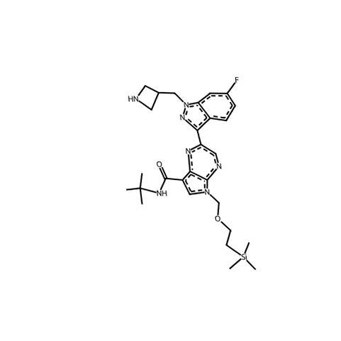 CC(C)(C)NC(=O)c1cn(COCC[Si](C)(C)C)c2ncc(-c3nn(CC4CNC4)c4cc(F)ccc34)nc12